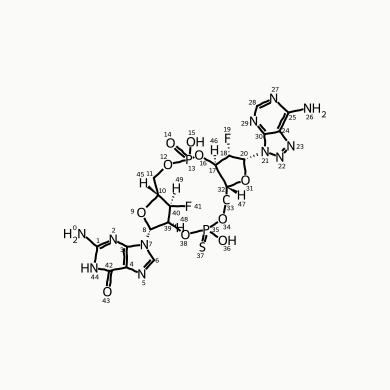 Nc1nc2c(ncn2[C@@H]2O[C@@H]3COP(=O)(O)O[C@H]4[C@H](F)[C@H](n5nnc6c(N)ncnc65)O[C@@H]4COP(O)(=S)O[C@@H]2[C@@H]3F)c(=O)[nH]1